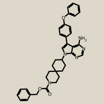 Nc1ncnc2c1c(-c1ccc(Oc3ccccc3)cc1)cn2C1CCC2(CC1)CCN(C(=O)OCc1ccccc1)CC2